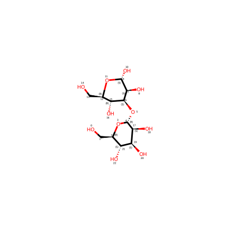 OC[C@H]1O[C@H](O[C@@H]2[C@H](O)[C@@H](O)O[C@H](CO)[C@H]2O)[C@@H](O)[C@@H](O)[C@@H]1O